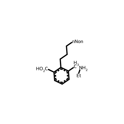 CCCCCCCCCCCCc1c(C)cccc1C(=O)O.CCN